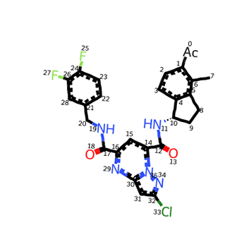 CC(=O)c1ccc2c(c1C)CC[C@@H]2NC(=O)c1cc(C(=O)NCc2ccc(F)c(F)c2)nc2cc(Cl)nn12